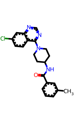 Cc1cccc(C(=O)NC2CCN(c3ncnc4cc(Cl)ccc34)CC2)c1